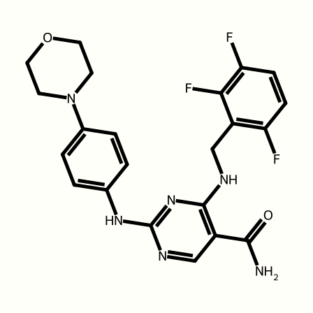 NC(=O)c1cnc(Nc2ccc(N3CCOCC3)cc2)nc1NCc1c(F)ccc(F)c1F